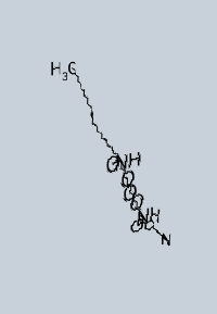 CCCCCCCCCCCCC#CCCCCCCCCCCC(=O)NCCCOCCOCCOCCCNC(=O)c1ccc(C#CC#N)cc1